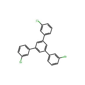 Clc1cccc(-c2cc(-c3cccc(Br)c3)cc(-c3cccc(Br)c3)c2)c1